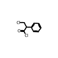 O=C(Cl)C(CCl)c1ccccc1